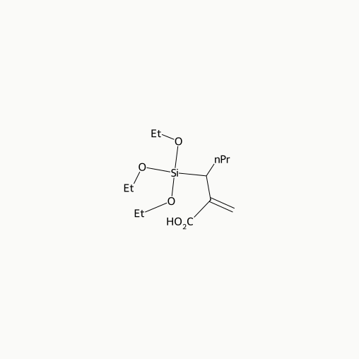 C=C(C(=O)O)C(CCC)[Si](OCC)(OCC)OCC